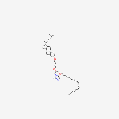 CCCCC/C=C\C/C=C\CCCCCCCCOCC(Cn1ccnc1C)OCCCCO[C@H]1CC[C@@]2(C)C(=CCC3C4CCC(C(C)CCCC(C)C)[C@@]4(C)CCC32)C1